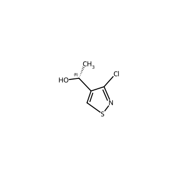 C[C@@H](O)c1csnc1Cl